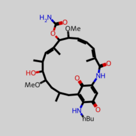 CCCCNC1=C2CC(C)CC(OC)C(O)C(C)/C=C(\C)C(OC(N)=O)C(OC)/C=C\C=C(/C)C(=O)NC(=CC1=O)C2=O